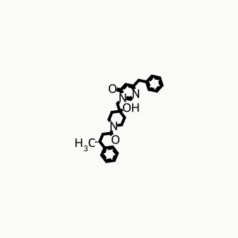 C[C@H](CC(=O)N1CCC(O)(Cn2cnc(Cc3ccccc3)cc2=O)CC1)c1ccccc1